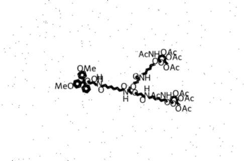 COc1ccc(C(OCC(O)CNC(=O)CCCCCCC(=O)NC(COCCC(=O)NCCCCCCOC2OC(COC(C)=O)C(OC(C)=O)C(OC(C)=O)C2NC(C)=O)COCCC(=O)NCCCCCCOC2OC(COC(C)=O)C(OC(C)=O)C(OC(C)=O)C2NC(C)=O)(c2ccccc2)c2ccc(OC)cc2)cc1